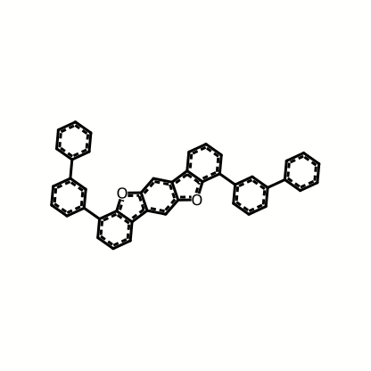 c1ccc(-c2cccc(-c3cccc4c3oc3cc5c(cc34)oc3c(-c4cccc(-c6ccccc6)c4)cccc35)c2)cc1